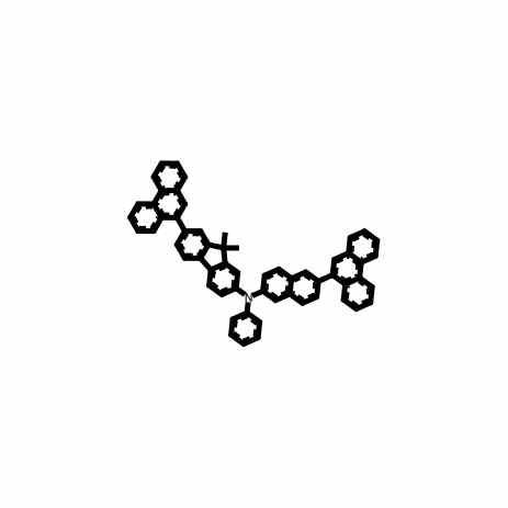 CC1(C)c2cc(-c3cc4ccccc4c4ccccc34)ccc2-c2ccc(N(c3ccccc3)c3ccc4cc(-c5cc6ccccc6c6ccccc56)ccc4c3)cc21